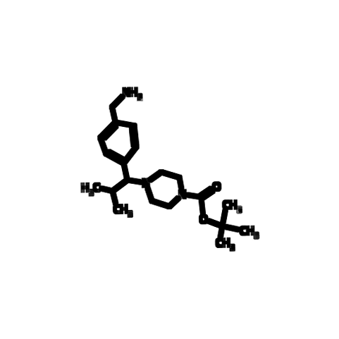 CC(C)C(c1ccc(CN)cc1)N1CCN(C(=O)OC(C)(C)C)CC1